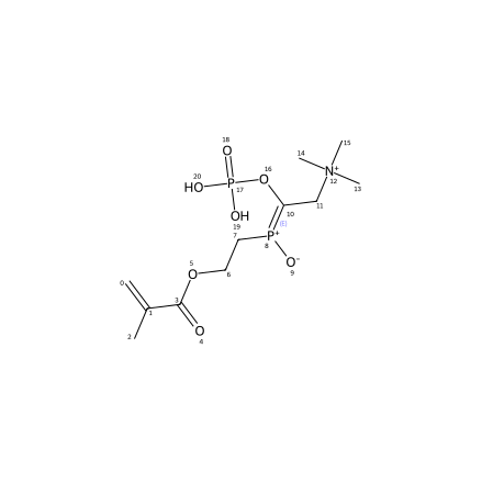 C=C(C)C(=O)OCC/[P+]([O-])=C(/C[N+](C)(C)C)OP(=O)(O)O